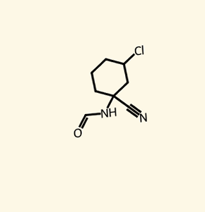 N#CC1(NC=O)CCCC(Cl)C1